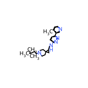 Cc1ccncc1-c1ccc(NCC2CC23CCN(CCC(C)(C)C)CC3)nn1